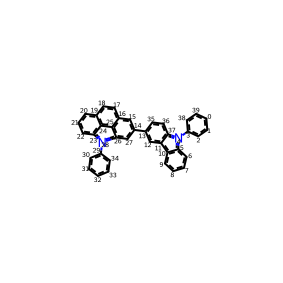 c1ccc(-n2c3ccccc3c3cc(-c4cc5ccc6cccc7c6c5c(c4)n7-c4ccccc4)ccc32)cc1